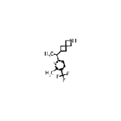 Cc1nc(C(C)C2CC3(CNC3)C2)ccc1C(F)(F)F